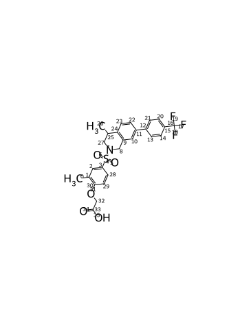 Cc1cc(S(=O)(=O)N2Cc3cc(-c4ccc(C(F)(F)F)cc4)ccc3C(C)C2)ccc1OCC(=O)O